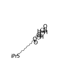 CC(C)SCCCCCCCCCCCC(=O)OC1CC[C@H]2[C@@H]3CC[C@H]4N(C)C(=O)CC[C@]4(C)[C@H]3CC[C@]12C